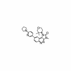 Cn1c(=O)n([C@@H]2CCOCC2(C)C)c2c3cc(-c4ccc(N5CCCC5)nc4)ccc3nnc21